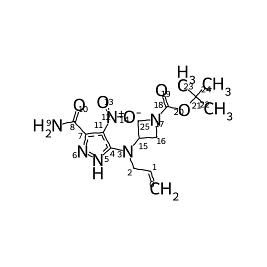 C=CCN(c1[nH]nc(C(N)=O)c1[N+](=O)[O-])C1CN(C(=O)OC(C)(C)C)C1